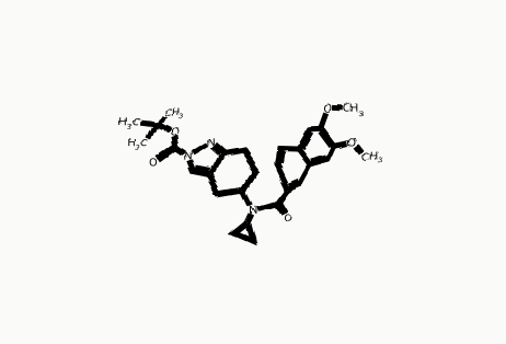 COc1cc2ccc(C(=O)N(C3CC3)C3CCc4nn(C(=O)OC(C)(C)C)cc4C3)cc2cc1OC